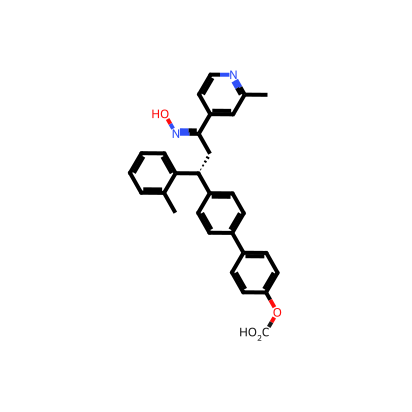 Cc1cc(/C(C[C@H](c2ccc(-c3ccc(OC(=O)O)cc3)cc2)c2ccccc2C)=N\O)ccn1